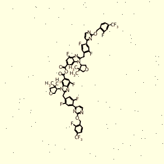 CC1(C)COCC1n1c(Cc2cc(F)c(-c3ccnc(OCc4ccc(C(F)(F)F)cc4F)n3)cc2F)nc2c(F)cc(C(=O)OC(=O)c3cc(F)c4nc(Cc5cc(F)c(-c6ccnc(OCc7ccc(C(F)(F)F)cc7F)n6)cc5F)n(C5COCC5(C)C)c4c3)cc21